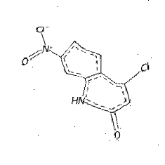 O=c1cc(Cl)c2ccc([N+](=O)[O-])cc2[nH]1